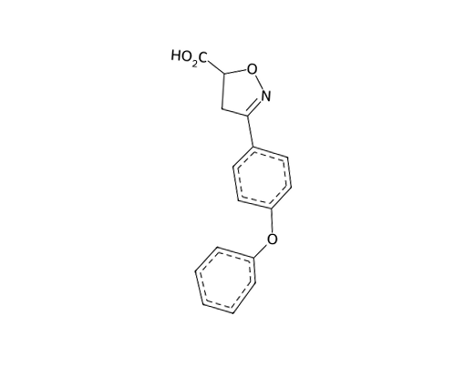 O=C(O)C1CC(c2ccc(Oc3ccccc3)cc2)=NO1